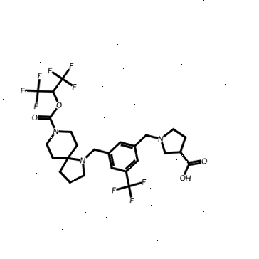 O=C(O)C1CCN(Cc2cc(CN3CCCC34CCN(C(=O)OC(C(F)(F)F)C(F)(F)F)CC4)cc(C(F)(F)F)c2)C1